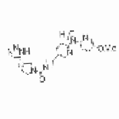 COc1ccc(N(C)c2ccc(C3CN(C(=O)N4CC[C@H](c5cnn[nH]5)C4)C3)cn2)nc1